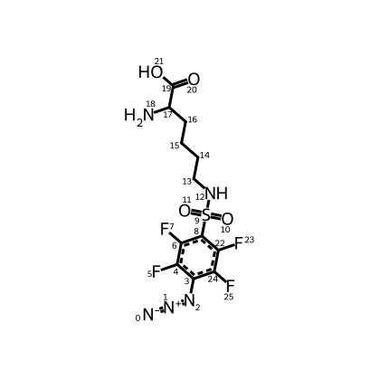 [N-]=[N+]=Nc1c(F)c(F)c(S(=O)(=O)NCCCCC(N)C(=O)O)c(F)c1F